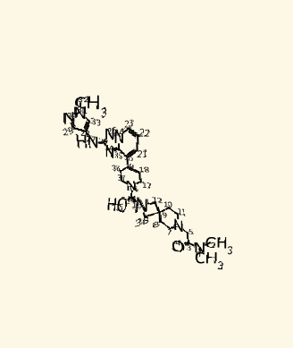 CN(C)C(=O)CN1CCC2(CC1)CN(C(O)N1CC=C(c3cccn4nc(Nc5cnn(C)c5)nc34)CC1)C2